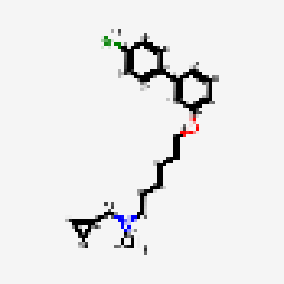 CN(CCCCCCOc1cc[c]c(-c2ccc(Br)cc2)c1)CC1CC1